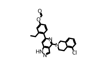 CCc1cc(OC=O)ccc1-c1cc2[nH]ncc2c(N2CCc3c(Cl)cccc3C2)n1